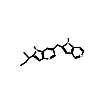 CCC(C)c1cc2ncc(Cc3cc4cnccc4n3C)cc2n1C